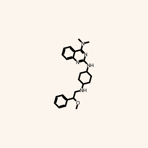 COC(CNC1CCC(Nc2nc(N(C)C)c3ccccc3n2)CC1)c1ccccc1